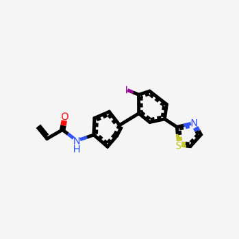 C=CC(=O)Nc1ccc(-c2cc(-c3nccs3)ccc2I)cc1